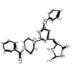 O=C1NC(=O)C(=Cc2cc(Oc3ccccc3)nc(N3CCN(C(=O)c4ccccc4)CC3)n2)S1